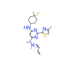 C=C/C=C\N(C)C(C)c1cc(NC2CCC(C)(F)CC2)nc(-c2nc(C)cs2)n1